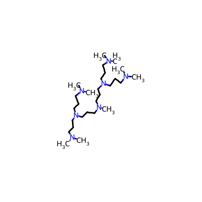 CN(C)CCCN(CCCN(C)C)CCCN(C)CCCN(CCCN(C)C)CCCN(C)C